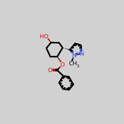 Cn1nccc1[C@H]1C[C@H](O)CC[C@@H]1OC(=O)c1ccccc1